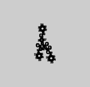 O=C(NC(=O)N(C(=O)OCc1ccccc1)C1CC(OCc2ccccc2)C1)OCc1ccccc1